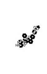 CC(Nc1ncnc2[nH]ccc(=O)c12)c1c(Cl)c2cccc(-c3ccc(N4CCN(C(=O)OC(C)(C)C)CC4)cc3)c2c(=O)n1-c1ccccc1